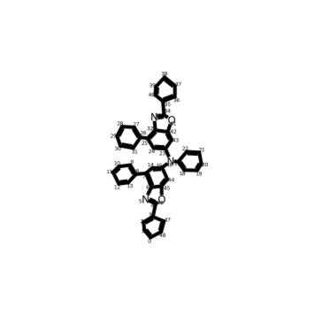 c1ccc(-c2nc3c(-c4ccccc4)cc(N(c4ccccc4)c4cc(-c5ccccc5)c5nc(-c6ccccc6)oc5c4)cc3o2)cc1